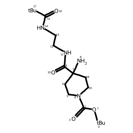 CC(C)(C)OC(=O)N1CCC(N)(C(=O)NCCNC(=O)C(C)(C)C)CC1